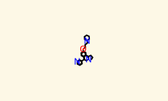 c1cncc(C2=c3ccc(OCCCN4CCCCC4)cc3=C3CCCN3C2)c1